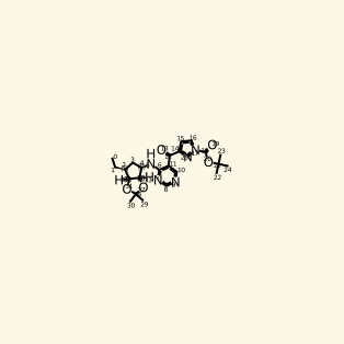 CC[C@H]1C[C@@H](Nc2ncncc2C(=O)c2ccn(C(=O)OC(C)(C)C)n2)[C@@H]2OC(C)(C)O[C@H]12